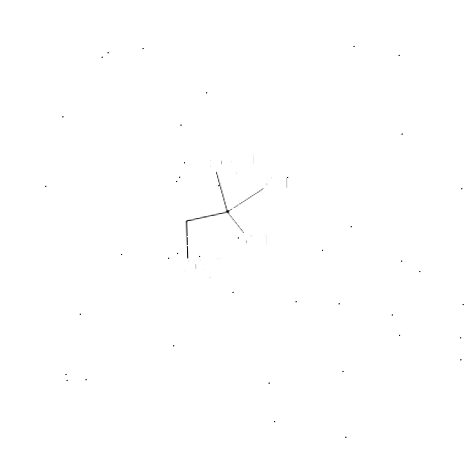 CCOC(=O)CC(C)(C)C(=O)OCC